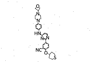 N#Cc1cc(-c2nccc(Nc3ccc(N4CCN(C5COC5)CC4)cc3)n2)ccc1OC1CCSCC1